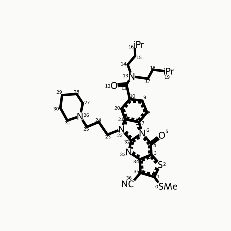 CSc1sc2c(=O)n3c4ccc(C(=O)N(CCC(C)C)CCC(C)C)cc4n(CCCN4CCCCC4)c3nc2c1C#N